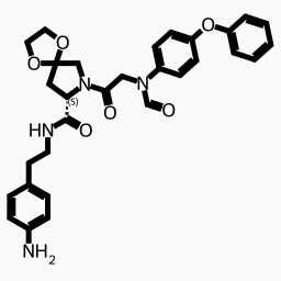 Nc1ccc(CCNC(=O)[C@@H]2CC3(CN2C(=O)CN(C=O)c2ccc(Oc4ccccc4)cc2)OCCO3)cc1